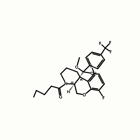 CCCCC(=O)N1CCC[C@@]2(C(O)(OC)c3ccc(C(F)(F)F)cc3)c3c(F)ccc(F)c3OC[C@@H]12